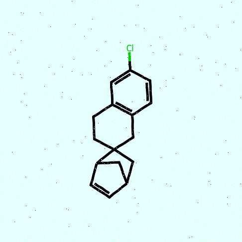 Clc1ccc2c(c1)CCC1(C2)CC2C=CC1C2